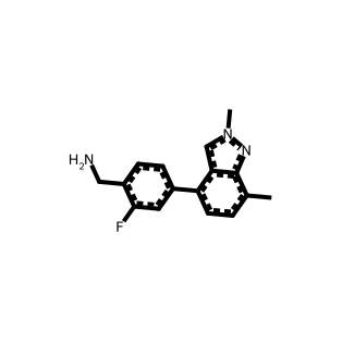 Cc1ccc(-c2ccc(CN)c(F)c2)c2cn(C)nc12